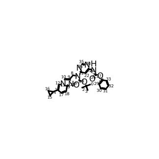 CC(C)(C)OC(=O)N(Cc1cn2cc(C3CC3)ccc2n1)c1cc(NC(=O)Oc2ccccc2)ncn1